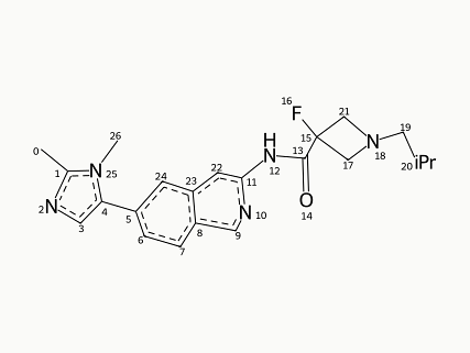 Cc1ncc(-c2ccc3cnc(NC(=O)C4(F)CN(CC(C)C)C4)cc3c2)n1C